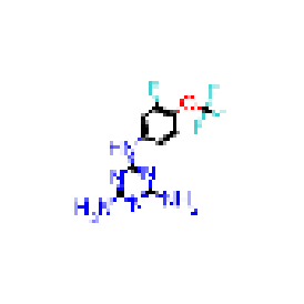 Nc1nc(N)nc(Nc2ccc(OC(F)(F)F)c(F)c2)n1